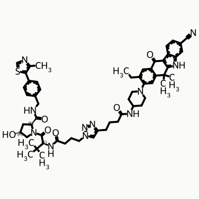 CCc1cc2c(cc1N1CCC(NC(=O)CCCc3cn(CCCC(=O)N[C@H](C(=O)N4C[C@H](O)C[C@H]4C(=O)NCc4ccc(-c5scnc5C)cc4)C(C)(C)C)nn3)CC1)C(C)(C)c1[nH]c3cc(C#N)ccc3c1C2=O